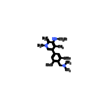 C=C1C(NC(=O)OCC)=C(C)C(c2cc(OC)c(CN(C)C)c(OC)c2)=CN1C